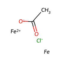 CC(=O)[O-].[Cl-].[Fe+2].[Fe]